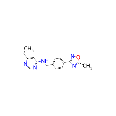 CCc1cc(NCc2ccc(-c3noc(C)n3)cc2)ncn1